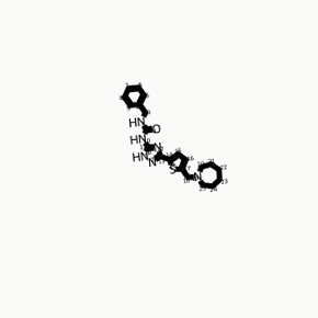 O=C(NCc1ccccc1)Nc1nc(-c2ccc(CN3CCCCCC3)s2)n[nH]1